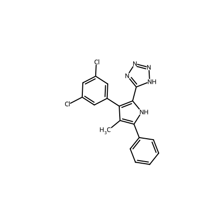 Cc1c(-c2ccccc2)[nH]c(-c2nnn[nH]2)c1-c1cc(Cl)cc(Cl)c1